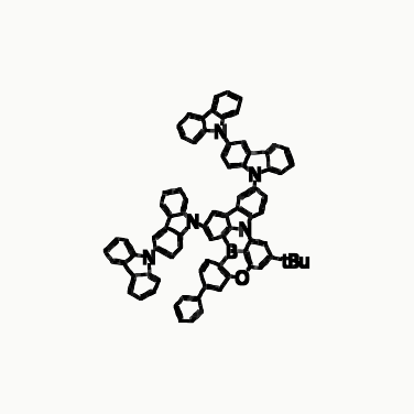 CC(C)(C)c1cc2c3c(c1)-n1c4ccc(-n5c6ccccc6c6cc(-n7c8ccccc8c8ccccc87)ccc65)cc4c4cc(-n5c6ccccc6c6cc(-n7c8ccccc8c8ccccc87)ccc65)cc(c41)B3c1ccc(-c3ccccc3)cc1O2